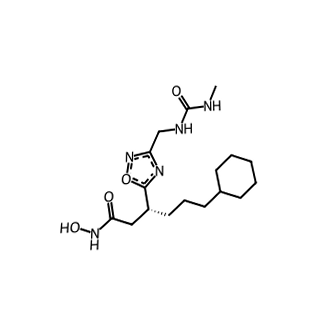 CNC(=O)NCc1noc([C@H](CCCC2CCCCC2)CC(=O)NO)n1